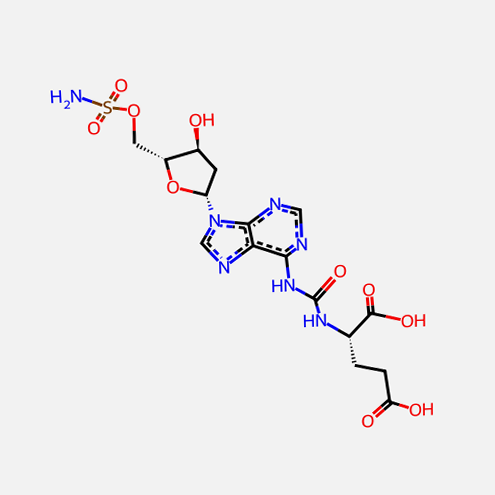 NS(=O)(=O)OC[C@H]1O[C@@H](n2cnc3c(NC(=O)N[C@@H](CCC(=O)O)C(=O)O)ncnc32)C[C@@H]1O